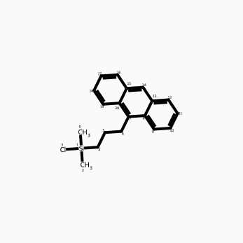 C[Si](C)(Cl)CCCc1c2ccccc2cc2ccccc12